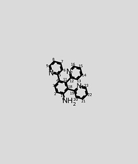 Nc1ccc(-c2ccccn2)c(-c2ccccn2)c1-c1ccccn1